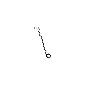 OCCCCCCCCCCCCCCc1ccccc1